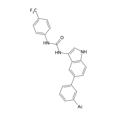 CC(=O)c1cccc(-c2ccc3[nH]cc(NC(=O)Nc4ccc(C(F)(F)F)cc4)c3c2)c1